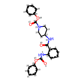 O=C(Nc1ccccc1C(=O)NC1CCN(C(=O)Oc2ccccc2)CC1)Oc1ccccc1